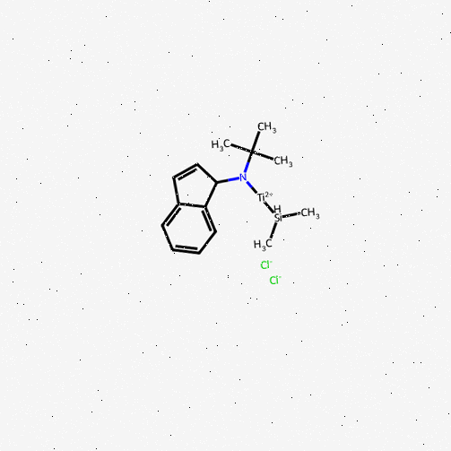 C[SiH](C)[Ti+2][N](C1C=Cc2ccccc21)C(C)(C)C.[Cl-].[Cl-]